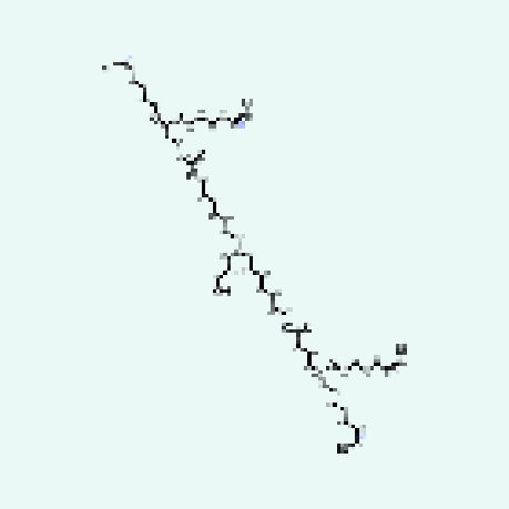 CC/C=C\CCCCOC(CCCC(=O)OCCCCCCCN(CCCO)CCCCCCCOC(=O)CCCC(OCCCC/C=C\CC)OCCCC/C=C\CC)OCCCC/C=C\CC